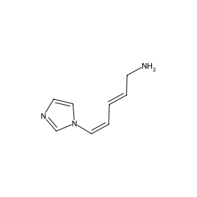 NC/C=C/C=C\n1ccnc1